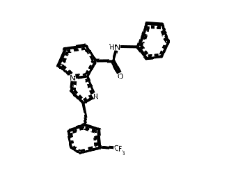 O=C(Nc1ccccc1)c1cccn2cc(-c3cccc(C(F)(F)F)c3)nc12